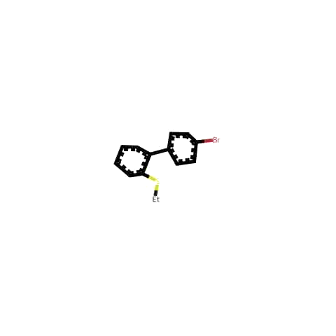 CCSc1ccccc1-c1ccc(Br)cc1